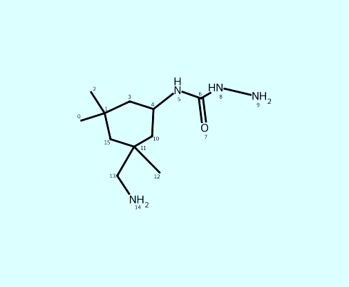 CC1(C)CC(NC(=O)NN)CC(C)(CN)C1